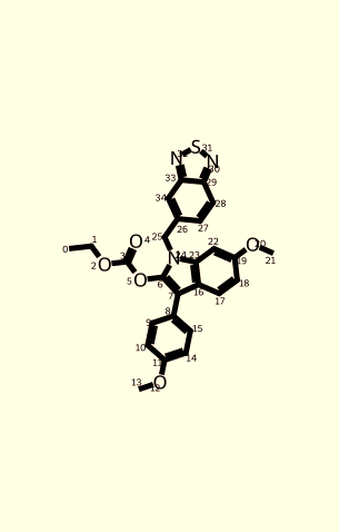 CCOC(=O)Oc1c(-c2ccc(OC)cc2)c2ccc(OC)cc2n1Cc1ccc2nsnc2c1